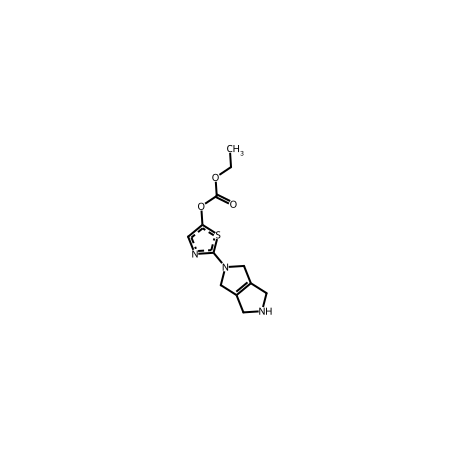 CCOC(=O)Oc1cnc(N2CC3=C(CNC3)C2)s1